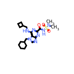 CN(C)S(=O)(=O)NC(=O)c1nc(NCC2CCC2)c2c(ncn2CC2CCCCC2)n1